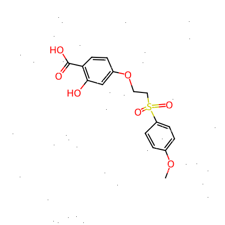 COc1ccc(S(=O)(=O)CCOc2ccc(C(=O)O)c(O)c2)cc1